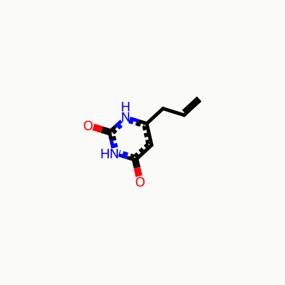 C=CCc1cc(=O)[nH]c(=O)[nH]1